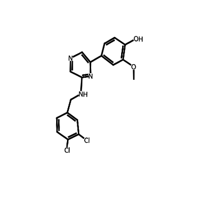 COc1cc(-c2cncc(NCc3ccc(Cl)c(Cl)c3)n2)ccc1O